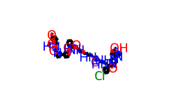 CCOc1cc(OC)ccc1CNCC(=O)N1CCCC(c2cccc(C(=O)N[C@@H](C(=O)NCCCCCCCNCC(=O)NCCNC[C@@H](C(=O)N3CCN(c4ncnc5c4[C@H](C)C[C@H]5O)CC3)c3ccc(Cl)cc3)C3CCCCC3)c2)C1